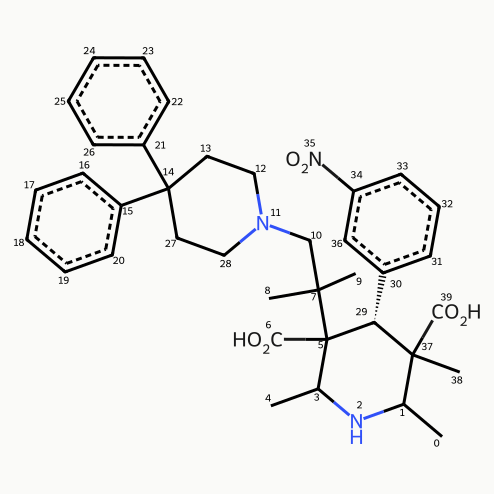 CC1NC(C)C(C(=O)O)(C(C)(C)CN2CCC(c3ccccc3)(c3ccccc3)CC2)[C@H](c2cccc([N+](=O)[O-])c2)C1(C)C(=O)O